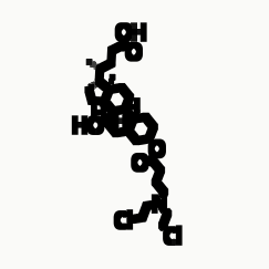 C[C@H](CCC(=O)O)[C@H]1CC[C@H]2[C@@H]3[C@H](O)CC4C[C@H](OC(=O)CCCN(CCCl)CCCl)CC[C@]4(C)[C@H]3CC[C@]12C